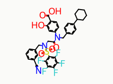 N#Cc1cccc(CN(CC(=O)N(Cc2ccc(C3CCCCC3)cc2)c2ccc(C(=O)O)c(O)c2)S(=O)(=O)c2c(F)c(F)c(F)c(F)c2F)c1